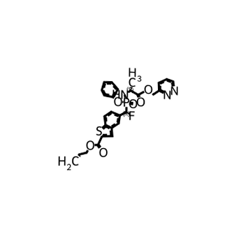 C=CCOC(=O)c1cc2cc([C@H](F)P(=O)(N[C@@H](C)C(=O)OCc3cccnn3)Oc3ccccc3)ccc2s1